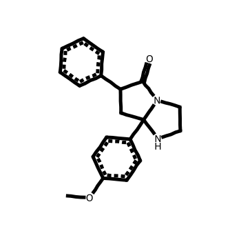 COc1ccc(C23CC(c4ccccc4)C(=O)N2CCN3)cc1